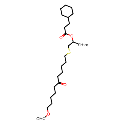 CCCCCCC(CSCCCCCC(=O)CCCCCOC=O)OC(=O)CCC1CCCCC1